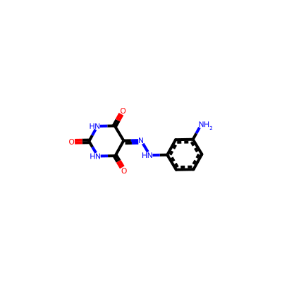 Nc1cccc(NN=C2C(=O)NC(=O)NC2=O)c1